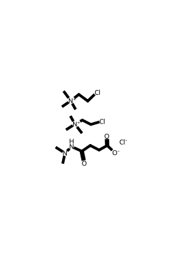 CN(C)NC(=O)CCC(=O)[O-].C[N+](C)(C)CCCl.C[N+](C)(C)CCCl.[Cl-]